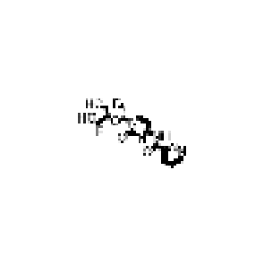 O=C(Nc1ccn([C@@H](CF)O[C@H](CO)[C@@H](O)F)c(=O)n1)c1cccnn1